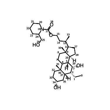 CC[C@H]1[C@@H](O)[C@@H]2C(CC[C@]3(C)[C@@H]([C@H](C)CCOC(=O)N4CCCCC4CO)CC[C@@H]23)[C@@]2(C)CC[C@@H](O)C[C@@H]12